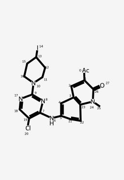 CC(=O)c1cc2cc(Nc3nc(N4CCC(I)CC4)ncc3Cl)ccc2n(C)c1=O